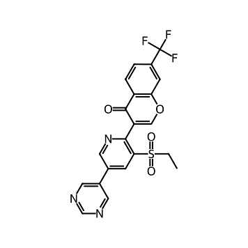 CCS(=O)(=O)c1cc(-c2cncnc2)cnc1-c1coc2cc(C(F)(F)F)ccc2c1=O